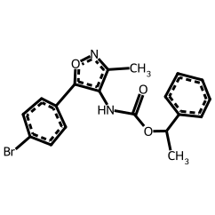 Cc1noc(-c2ccc(Br)cc2)c1NC(=O)OC(C)c1ccccc1